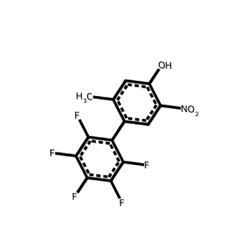 Cc1cc(O)c([N+](=O)[O-])cc1-c1c(F)c(F)c(F)c(F)c1F